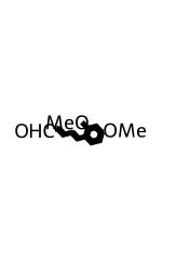 COc1ccc(C=CC=CC=O)c(OC)c1